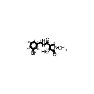 CN1CC(C(=O)NCc2cccc(Br)c2)=C(O)C1=O